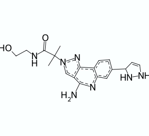 CC(C)(C(=O)NCCO)n1cc2c(N)nc3cc(C4C=CNN4)ccc3c2n1